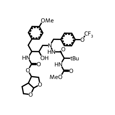 COC(=O)NC(C(=O)NN(Cc1ccc(OC(F)(F)F)cc1)CC(O)C(Cc1ccc(OC)cc1)NC(=O)OC1COC2OCCC12)C(C)(C)C